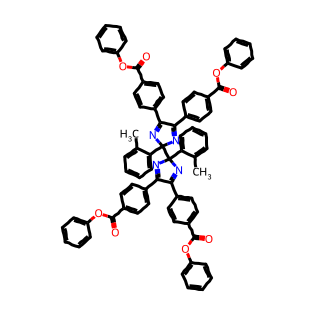 Cc1ccccc1C1(C2(c3ccccc3C)N=C(c3ccc(C(=O)Oc4ccccc4)cc3)C(c3ccc(C(=O)Oc4ccccc4)cc3)=N2)N=C(c2ccc(C(=O)Oc3ccccc3)cc2)C(c2ccc(C(=O)Oc3ccccc3)cc2)=N1